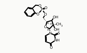 C[C@@]1(O)C(O)[C@@H](COP2(=O)OCc3ccccc3O2)O[C@H]1n1ccc(=O)[nH]c1=S